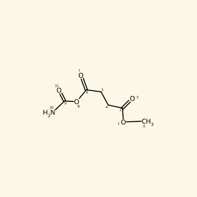 COC(=O)CCC(=O)OC(N)=O